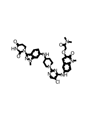 CN(C)C(=O)COc1cc2cc(Nc3nc(N4CCC(Nc5ccc6c(N7CCC(=O)NC7=O)nn(C)c6c5)CC4)ncc3Cl)ccc2n(C)c1=O